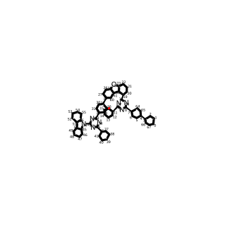 c1ccc(-c2ccc(-c3nc(-c4ccccc4)nc(-c4cccc5oc6ccc(-c7ccc(-c8nc(-c9ccccc9)nc(-n9c%10ccccc%10c%10ccccc%109)n8)cc7)cc6c45)n3)cc2)cc1